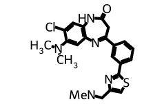 CNCc1csc(-c2cccc(C3=Nc4cc(N(C)C)c(Cl)cc4NC(=O)C3)c2)n1